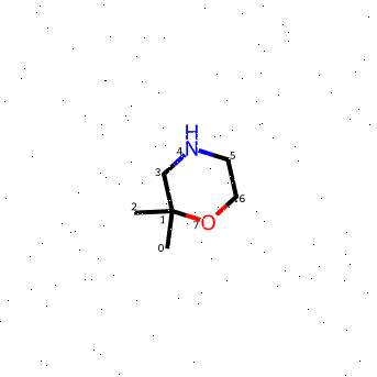 CC1(C)CNC[CH]O1